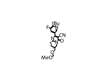 COCOC[C@H]1CSc2nc(-c3cnc(C(C)(C)C)c(F)c3)c(C#N)c(=O)n2C1